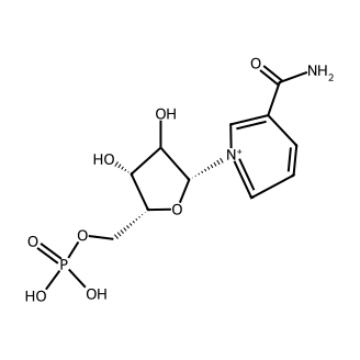 NC(=O)c1ccc[n+]([C@@H]2O[C@H](COP(=O)(O)O)[C@H](O)C2O)c1